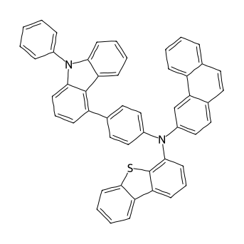 c1ccc(-n2c3ccccc3c3c(-c4ccc(N(c5ccc6ccc7ccccc7c6c5)c5cccc6c5sc5ccccc56)cc4)cccc32)cc1